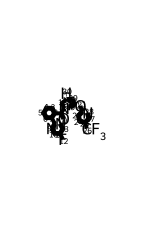 O=C(c1ccccc1-c1ncc(F)cn1)N1C[C@@H]2CC1[C@H](Oc1ccc(C(F)(F)F)cn1)C2